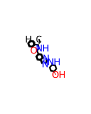 CC[C@@H](NC(=O)c1ccc2cnc(N[C@H]3CC[C@H](O)CC3)nc2c1)c1ccccc1